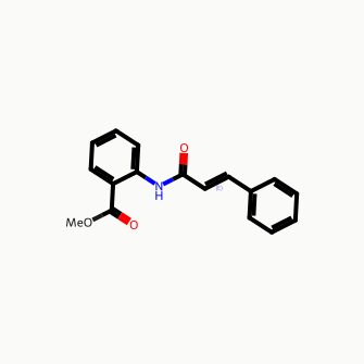 COC(=O)c1ccccc1NC(=O)/C=C/c1ccccc1